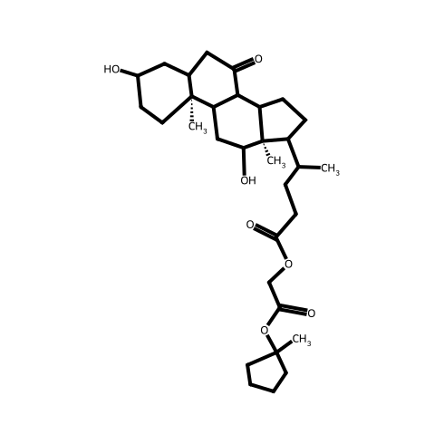 CC(CCC(=O)OCC(=O)OC1(C)CCCC1)C1CCC2C3C(=O)CC4CC(O)CC[C@]4(C)C3CC(O)[C@]12C